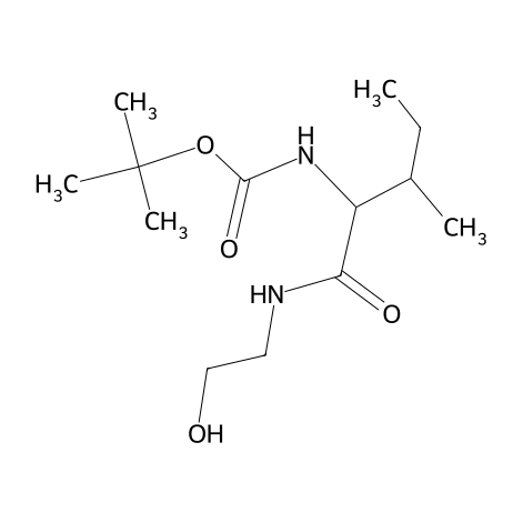 CCC(C)C(NC(=O)OC(C)(C)C)C(=O)NCCO